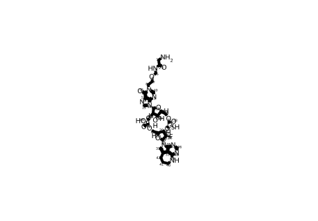 NCC(=O)NCOCCn1cnc2c(ncn2[C@@H]2O[C@@H]3COP(=O)(S)O[C@H]4[C@@H](F)[C@H](n5cc6c7c(ncnc75)NCCC6)O[C@@H]4COP(=O)(O)O[C@@H]2[C@@H]3O)c1=O